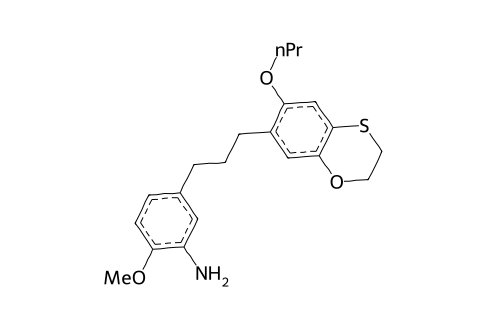 CCCOc1cc2c(cc1CCCc1ccc(OC)c(N)c1)OCCS2